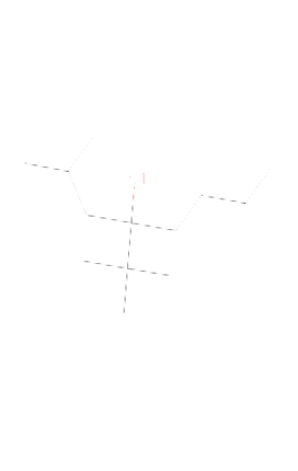 CCCCC(O)(CC(C)C)C(C)(C)C